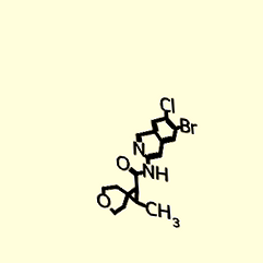 CC1C(C(=O)Nc2cc3cc(Br)c(Cl)cc3cn2)C12CCOCC2